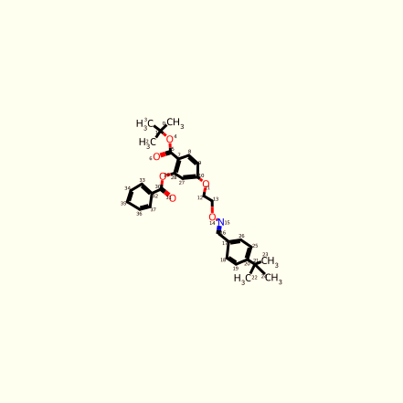 CC(C)(C)OC(=O)c1ccc(OCCON=Cc2ccc(C(C)(C)C)cc2)cc1OC(=O)c1ccccc1